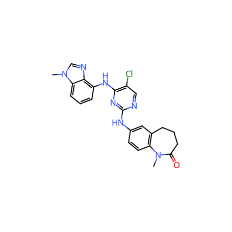 CN1C(=O)CCCc2cc(Nc3ncc(Cl)c(Nc4cccc5c4ncn5C)n3)ccc21